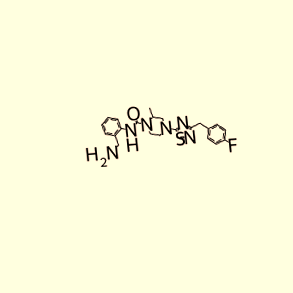 CC1CN(c2nc(Cc3ccc(F)cc3)ns2)CCN1C(=O)Nc1ccccc1CN